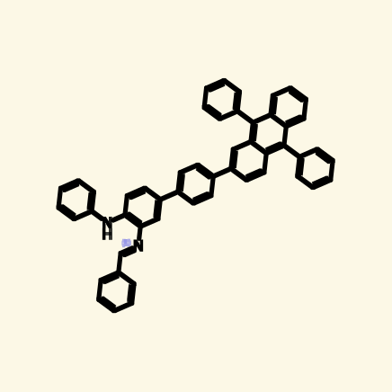 C(=N\c1cc(-c2ccc(-c3ccc4c(-c5ccccc5)c5ccccc5c(-c5ccccc5)c4c3)cc2)ccc1Nc1ccccc1)/c1ccccc1